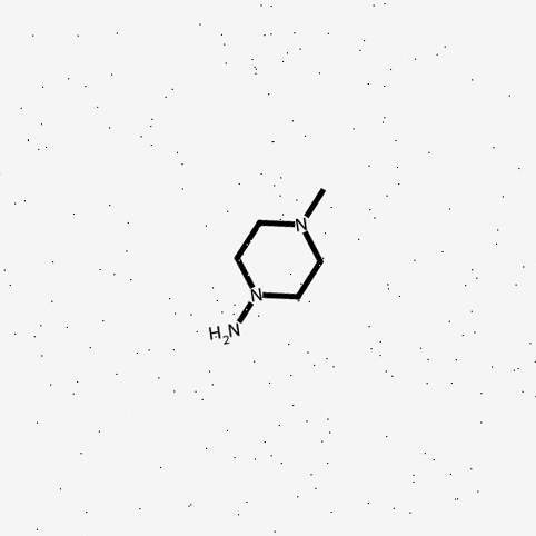 CN1C[CH]N(N)CC1